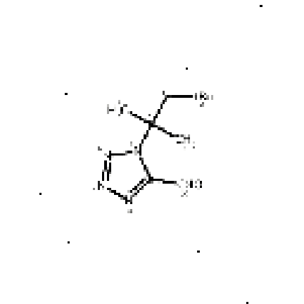 CC(C)(C)CC(C)(C)n1nnnc1C=O